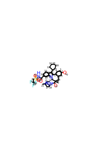 COc1ccc2c(c1)C1CC1(C(=O)N1CC3CCC1CN3C)Cn1c-2c(C2CCCCC2)c2ccc(C(=O)NS(=O)(=O)CC(F)(F)F)cc21